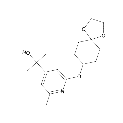 Cc1cc(C(C)(C)O)cc(OC2CCC3(CC2)OCCO3)n1